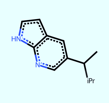 CC(C)C(C)c1cnc2[nH]ccc2c1